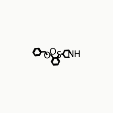 O=C(OCc1ccccc1)c1ccccc1SC1CCNCC1